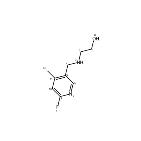 OCCNCc1cnc(F)cc1I